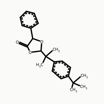 CC(C)(C)c1ccc(C(C)(C)C2OC(=O)C(c3ccccc3)O2)cc1